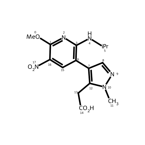 COc1nc(NC(C)C)c(-c2cnn(C)c2CC(=O)O)cc1[N+](=O)[O-]